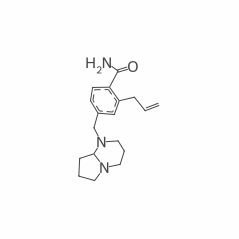 C=CCc1cc(CN2CCCN3CCCC32)ccc1C(N)=O